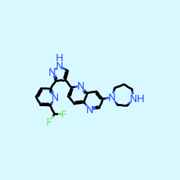 FC(F)c1cccc(-c2n[nH]cc2-c2ccc3ncc(N4CCCNCC4)cc3n2)n1